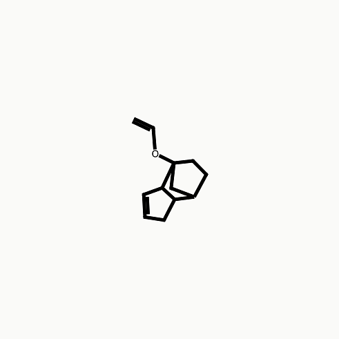 C=COC12CCC(C1)C1CC=CC12